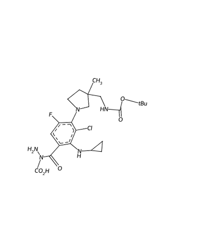 CC1(CNC(=O)OC(C)(C)C)CCN(c2c(F)cc(C(=O)N(N)C(=O)O)c(NC3CC3)c2Cl)C1